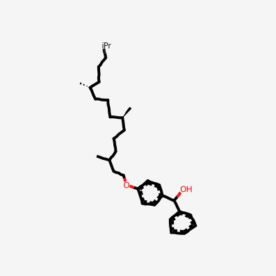 CC(C)CCC[C@@H](C)CCC[C@@H](C)CCCC(C)CCOc1ccc(C(O)c2ccccc2)cc1